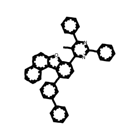 Cc1c(-c2ccccc2)nc(-c2ccccc2)nc1-c1ccc(-c2cccc(-c3ccccc3)c2)c2c1oc1ccc3ccccc3c12